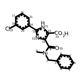 CN(Cc1ccccc1)C(=O)c1nc(-c2cccc(Cl)c2)[nH]c1C(=O)O